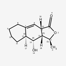 C[C@@H]1OC(=O)[C@H]2C=C3CCCC[C@@H]3[C@@H](O)[C@@H]12